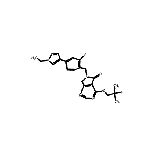 CCn1cc(-c2ccc(CN3Cc4ncnc(OCC(C)(C)F)c4C3=O)c(F)c2)cn1